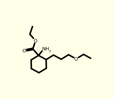 CCOCCCC1CCCCC1(N)C(=O)OCC